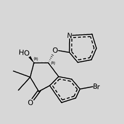 CC1(C)C(=O)c2ccc(Br)cc2[C@@H](Oc2ccccn2)[C@@H]1O